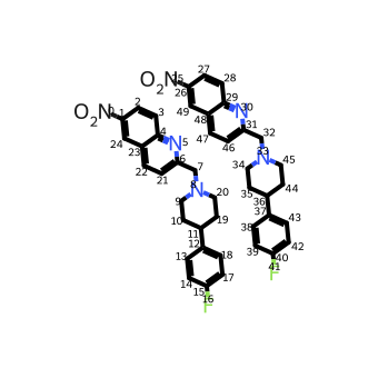 O=[N+]([O-])c1ccc2nc(CN3CCC(c4ccc(F)cc4)CC3)ccc2c1.O=[N+]([O-])c1ccc2nc(CN3CCC(c4ccc(F)cc4)CC3)ccc2c1